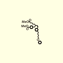 COC(=O)CCCCC(/C=C\c1cccc(CCCCCOc2ccccc2)c1)Cc1ccc(C(=O)OC)cc1